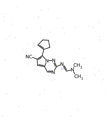 CN(C)/C=N/c1ncc2cc(C#N)c(C3=CCCC3)n2n1